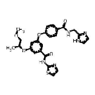 COCC(C)Oc1cc(Oc2ccc(C(=O)NCc3ncc[nH]3)cc2)cc(C(=O)Nc2nccs2)c1